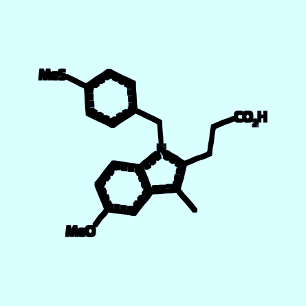 COc1ccc2c(c1)c(C)c(CCC(=O)O)n2Cc1ccc(SC)cc1